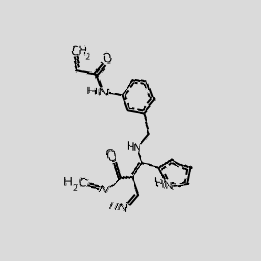 C=CC(=O)Nc1cccc(CN/C(=C(/C=N)C(=O)N=C)c2ccc[nH]2)c1